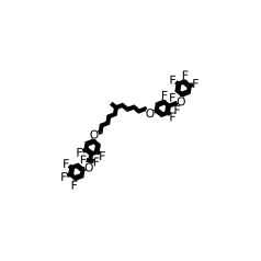 CC(CCCCCOc1cc(F)c(C(F)(F)Oc2cc(F)c(F)c(F)c2)c(F)c1)CCCCCOc1cc(F)c(C(F)(F)Oc2cc(F)c(F)c(F)c2)c(F)c1